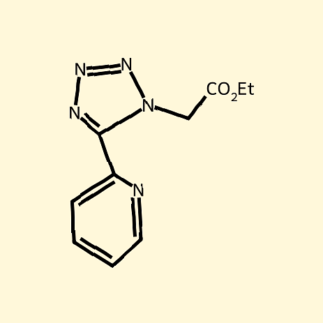 CCOC(=O)Cn1nnnc1-c1ccccn1